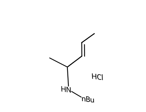 CC=CC(C)NCCCC.Cl